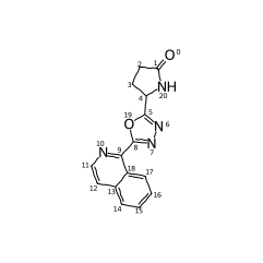 O=C1CCC(c2nnc(-c3nccc4ccccc34)o2)N1